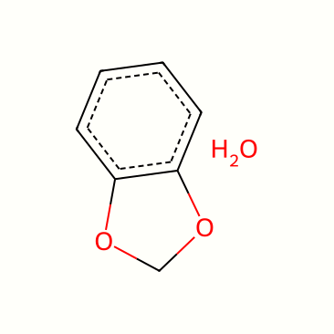 O.c1ccc2c(c1)OCO2